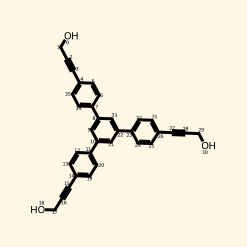 OCC#Cc1ccc(-c2cc(-c3ccc(C#CCO)cc3)cc(-c3ccc(C#CCO)cc3)c2)cc1